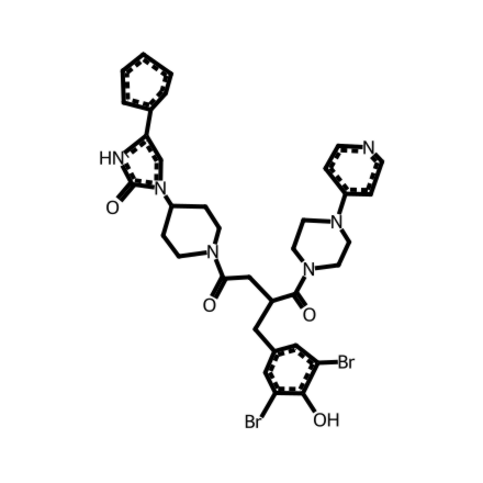 O=C(CC(Cc1cc(Br)c(O)c(Br)c1)C(=O)N1CCN(c2ccncc2)CC1)N1CCC(n2cc(-c3ccccc3)[nH]c2=O)CC1